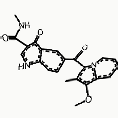 CNC(=O)c1c[nH]c2ccc(C(=O)c3c(C)c(OC)c4ccccn34)cc2c1=O